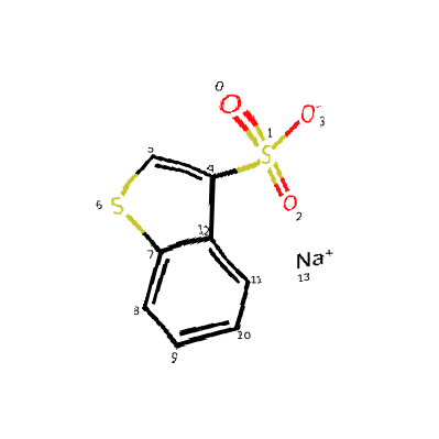 O=S(=O)([O-])c1csc2ccccc12.[Na+]